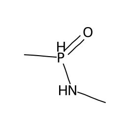 CN[PH](C)=O